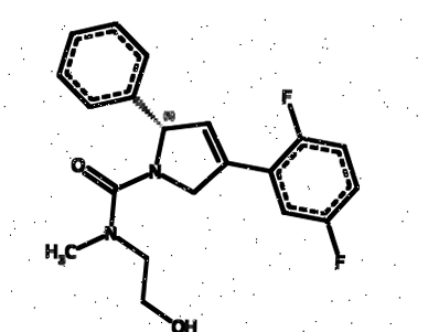 CN(CCO)C(=O)N1CC(c2cc(F)ccc2F)=C[C@H]1c1ccccc1